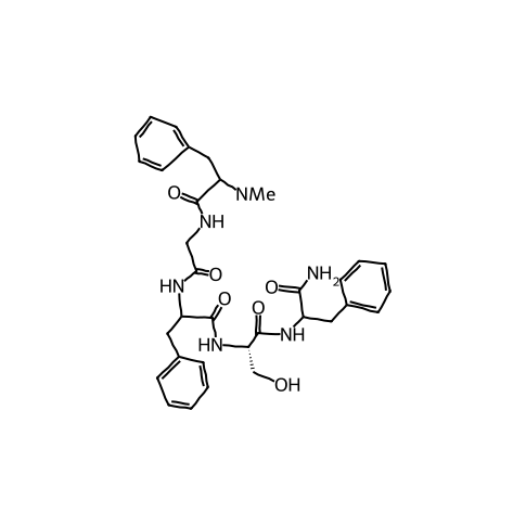 CNC(Cc1ccccc1)C(=O)NCC(=O)NC(Cc1ccccc1)C(=O)N[C@@H](CO)C(=O)NC(Cc1ccccc1)C(N)=O